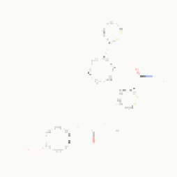 COc1ccc(NC(=O)N2CCc3sc(C(N)=O)c(-c4cc(-c5cccs5)ccc4N)c3C2)cc1